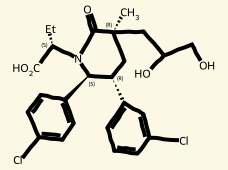 CC[C@@H](C(=O)O)N1C(=O)[C@@](C)(CC(O)CO)C[C@H](c2cccc(Cl)c2)[C@H]1c1ccc(Cl)cc1